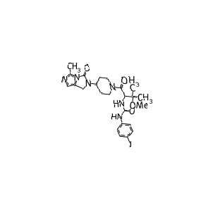 COC(C)(C)C(NC(=O)Nc1ccc(I)cc1)C(=O)N1CCC(N2Cc3cnc(C)n3C2=O)CC1